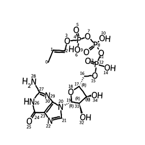 CC=COP(=O)(O)OP(=O)(O)OP(=O)(O)OC[C@H]1O[C@@H](n2cnc3c(=O)[nH]c(N)nc32)[C@H](O)[C@@H]1O